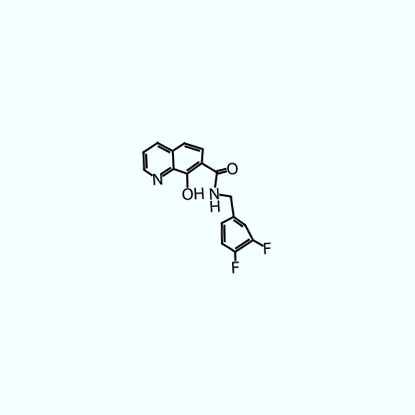 O=C(NCc1ccc(F)c(F)c1)c1ccc2cccnc2c1O